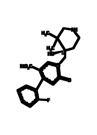 CCOC(=O)c1cn(C[C@]2(O)CCNCC2(C)C)c(=O)cc1-c1ccccc1F